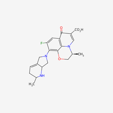 CC1CC=C2CN(c3c(F)cc4c(=O)c(C(=O)O)cn5c4c3OC[C@@H]5C)CC2N1